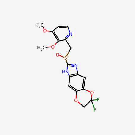 COc1ccnc(C[S+]([O-])c2nc3cc4c(cc3[nH]2)OCC(F)(F)O4)c1OC